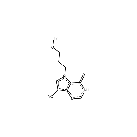 CC(C)OCCCn1cc(C#N)c2nc[nH]c(=S)c21